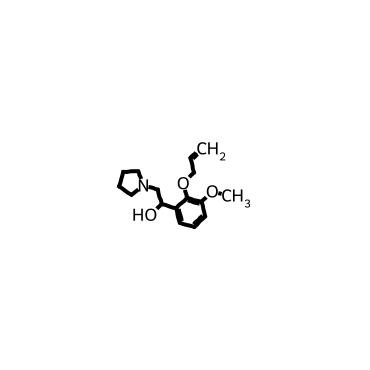 C=CCOc1c(OC)cccc1C(O)CN1CCCC1